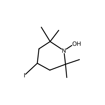 CC1(C)CC(I)CC(C)(C)N1O